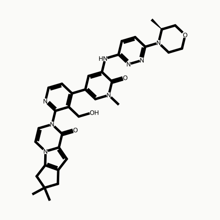 C[C@H]1COCCN1c1ccc(Nc2cc(-c3ccnc(-n4ccn5c6c(cc5c4=O)CC(C)(C)C6)c3CO)cn(C)c2=O)nn1